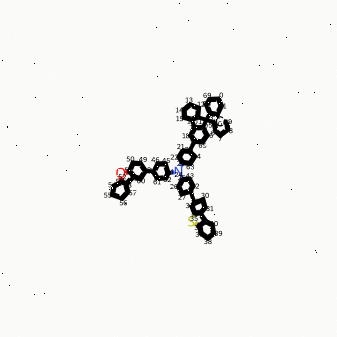 c1ccc(C2(c3ccccc3)c3ccccc3-c3cc(-c4ccc(N(c5ccc(-c6ccc7c(c6)sc6ccccc67)cc5)c5ccc(-c6ccc7oc8ccccc8c7c6)cc5)cc4)ccc32)cc1